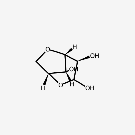 OC1O[C@@H]2CO[C@@H]([C@@H]2O)[C@H]1O